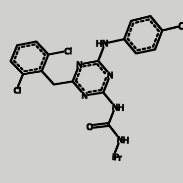 CC(C)NC(=O)Nc1nc(Cc2c(Cl)cccc2Cl)nc(Nc2ccc(C#N)cc2)n1